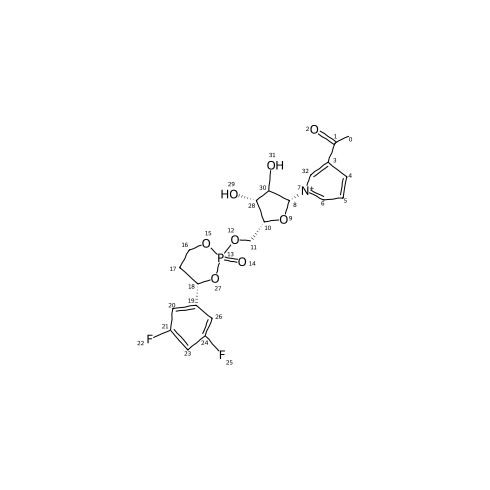 CC(=O)c1ccc[n+]([C@@H]2O[C@H](COP3(=O)OCC[C@@H](c4cc(F)cc(F)c4)O3)[C@H](O)C2O)c1